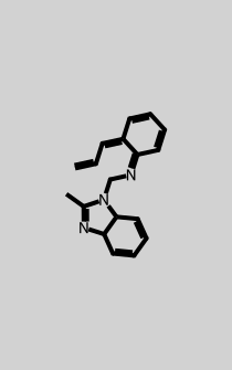 C=C/C=C1/C=CC=C/C1=N/CN1C(C)=NC2C=CC=CC21